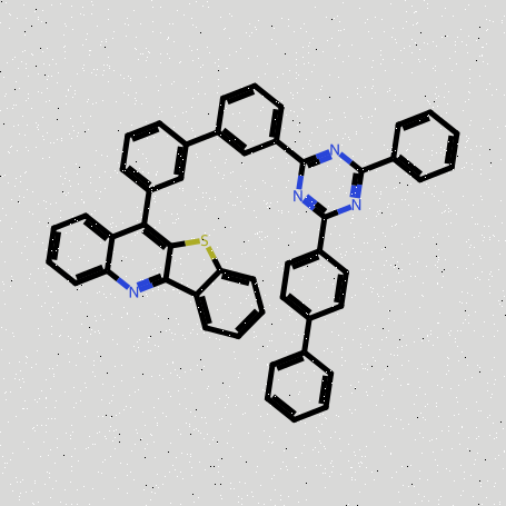 c1ccc(-c2ccc(-c3nc(-c4ccccc4)nc(-c4cccc(-c5cccc(-c6c7ccccc7nc7c6sc6ccccc67)c5)c4)n3)cc2)cc1